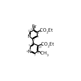 CCOC(=O)c1cc(-c2cncc(C)c2C(=O)OCC)ncc1Br